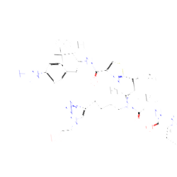 CC[C@H](C)[C@H](NC(=O)[C@H]1CCCCN1C)C(=O)N(CCCCc1cn(CCO)nn1)[C@H](C[C@@H](OC(C)=O)c1nc(C(=O)N[C@@H](Cc2ccc(N)cc2)CC(C)(C)C(=O)O)cs1)C(C)C